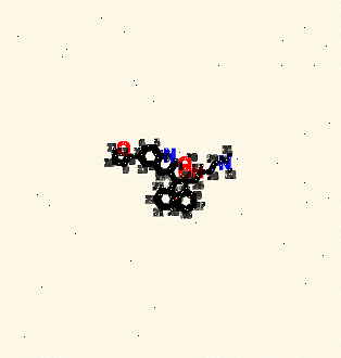 COc1nc2ccc(-c3ccco3)cc2cc1C(c1ccccc1)C(O)(CCCCN(C)C)c1ccccc1